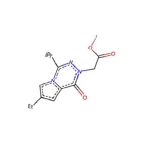 CCc1cc2c(=O)n(CC(=O)OI)nc(C(C)C)n2c1